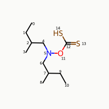 CCC(C)CN(CC(C)CC)OC(=S)S